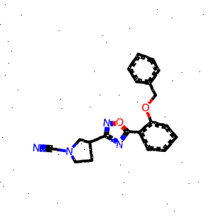 N#CN1CCC(c2noc(-c3ccccc3OCc3ccccc3)n2)C1